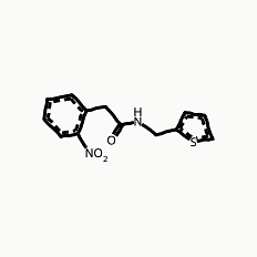 O=C(Cc1ccccc1[N+](=O)[O-])NCc1cccs1